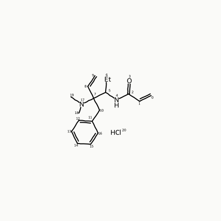 C=CC(=O)NC(CC)C(C=C)(Cc1ccccc1)N(C)C.Cl